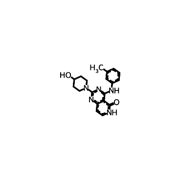 Cc1cccc(Nc2nc(N3CCC(O)CC3)nc3cc[nH]c(=O)c23)c1